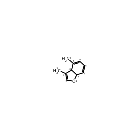 CC1=COC2C=CC=C(N)C12